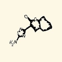 Nc1nc(-c2cc3ccccc3oc2=O)ns1